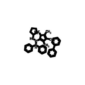 CC1=C(C)C(C)[C]([Zr]([NH]C2CCCC2)[SiH](c2ccccc2)c2ccccc2)=C1C.c1ccc(-c2ccccc2)cc1